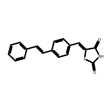 O=C1NC(=O)/C(=C/c2ccc(/C=C/c3ccccc3)cc2)S1